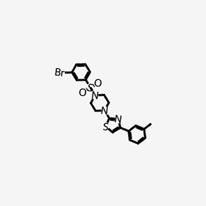 Cc1cccc(-c2csc(N3CCN(S(=O)(=O)c4cccc(Br)c4)CC3)n2)c1